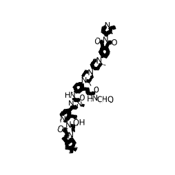 Cc1cc(N2C(=O)c3ccc(N4CCC(N5CCN(c6ccc(Nc7nc(-c8ccnc(N9CCn%10c(cc%11c%10CC(C)(C)C%11)C9=O)c8CO)cn(C)c7=O)cc6C=CC(=O)NC=O)[C@@H](C)C5)C[C@H]4C)cc3C2=O)ccn1